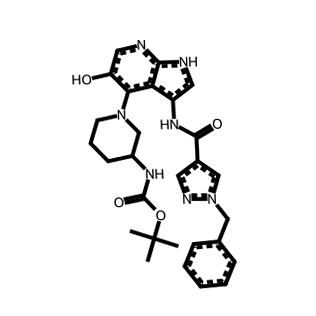 CC(C)(C)OC(=O)NC1CCCN(c2c(O)cnc3[nH]cc(NC(=O)c4cnn(Cc5ccccc5)c4)c23)C1